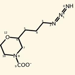 N=[N+]=NCCCC1CN(C(=O)[O-])CCO1